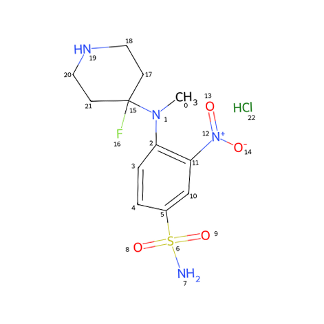 CN(c1ccc(S(N)(=O)=O)cc1[N+](=O)[O-])C1(F)CCNCC1.Cl